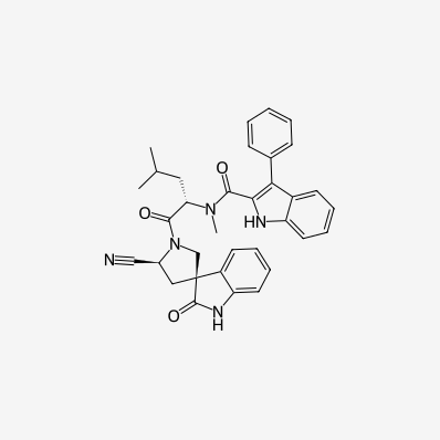 CC(C)C[C@@H](C(=O)N1C[C@]2(C[C@H]1C#N)C(=O)Nc1ccccc12)N(C)C(=O)c1[nH]c2ccccc2c1-c1ccccc1